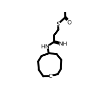 CC(=O)SCCC(=N)NC1CCCCCCCCC1